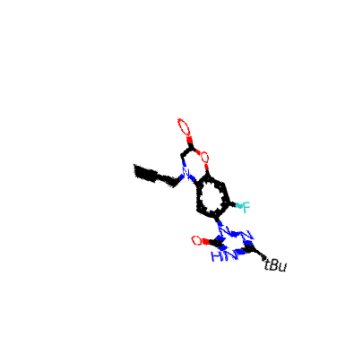 C#CCN1CC(=O)Oc2cc(F)c(-n3nc(C(C)(C)C)[nH]c3=O)cc21